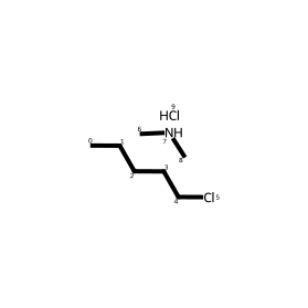 CCCCCCl.CNC.Cl